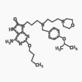 CCCCOc1nc(N)c2[nH]c(=O)n(CCCN(CCCN3CCOCC3)Cc3ccc(OC(C)C)cc3)c2n1